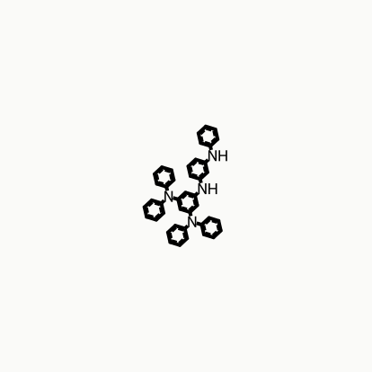 c1ccc(Nc2cccc(Nc3cc(N(c4ccccc4)c4ccccc4)cc(N(c4ccccc4)c4ccccc4)c3)c2)cc1